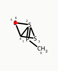 CP=S123SC1(S2)S3